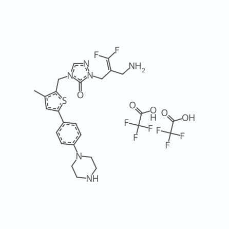 Cc1cc(-c2ccc(N3CCNCC3)cc2)sc1Cn1cnn(CC(CN)=C(F)F)c1=O.O=C(O)C(F)(F)F.O=C(O)C(F)(F)F